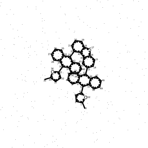 Cc1ccc(-c2c3ccccc3c(-c3ccc4sc5cccc(-c6c7ccccc7c(-c7ccc(C)o7)c7ccccc67)c5c4c3)c3ccccc23)o1